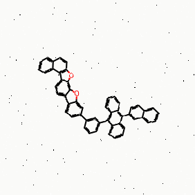 c1cc(-c2ccc3c(c2)oc2c3ccc3c2oc2ccc4ccccc4c23)cc(-c2c3ccccc3c(-c3ccc4ccccc4c3)c3ccccc23)c1